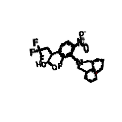 O=C(O)C(CC(F)(F)F)c1ccc([N+](=O)[O-])c(N(Cc2ccccc2)Cc2ccccc2)c1F